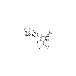 COc1ncccc1Cn1cc(NC(=O)[C@@H](NC(=O)OC(C)(C)C)C(C2CC2)C2CC2)cn1